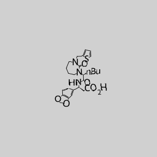 CCCC[C@@H](C(=O)N[C@@H](CC(=O)O)c1ccc2c(c1)OCO2)N1CCCCN(Cc2cccs2)C1=O